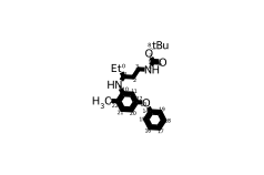 CCC(CCNC(=O)OC(C)(C)C)Nc1cc(Oc2ccccc2)ccc1C